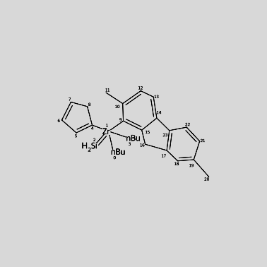 CCC[CH2][Zr](=[SiH2])([CH2]CCC)([C]1=CC=CC1)[c]1c(C)ccc2c1Cc1cc(C)ccc1-2